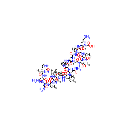 CC[C@H](C)[C@H](NC(=O)[C@H](C)NC(=O)[C@H](C)NC(=O)[C@H](CC(N)=O)NC(=O)[C@H](CC(N)=O)NC(=O)[C@H](C)NC(=O)[C@@H]1CCCN1)C(=O)N[C@H](C(=O)N[C@@H](CC(C)C)C(=O)N[C@@H](CCC(N)=O)C(=O)N[C@@H](CC(C)C)C(=O)N1CCC[C@H]1C(=O)N[C@@H](CCC(N)=O)C(=O)NCC(=O)N[C@H](C(=O)N[C@H](C(=O)N[C@@H](CC(C)C)C(=O)N1CCC[C@H]1C(=O)N[C@@H](CCCCN)C(=O)NCC(=O)O)[C@@H](C)O)[C@@H](C)O)C(C)C